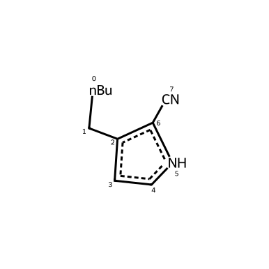 CCCCCc1cc[nH]c1C#N